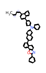 C/C=C\C=C/c1ccc(-c2ccc(N(c3ccccc3)c3ccc4cc(-c5cccc6c5ccc5nc(-c7ccccc7)oc56)ccc4c3)cc2)c2ccccc12